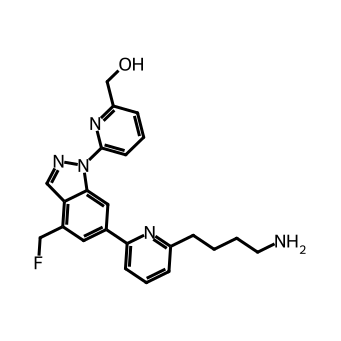 NCCCCc1cccc(-c2cc(CF)c3cnn(-c4cccc(CO)n4)c3c2)n1